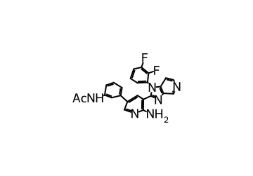 CC(=O)Nc1cccc(-c2cnc(N)c(-c3nc4cnccc4n3-c3cccc(F)c3F)c2)c1